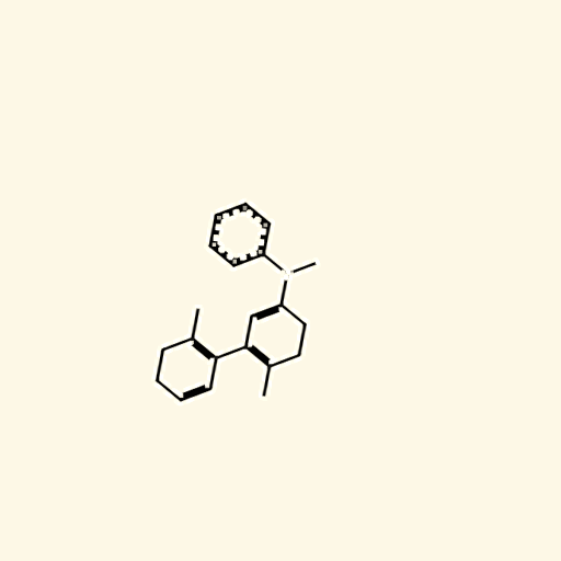 CC1=C(C2=C(C)CCC(N(C)c3ccccc3)=C2)C=CCC1